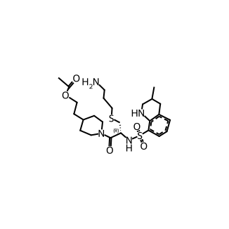 CC(=O)OCCC1CCN(C(=O)[C@H](CSCCCN)NS(=O)(=O)c2cccc3c2NCC(C)C3)CC1